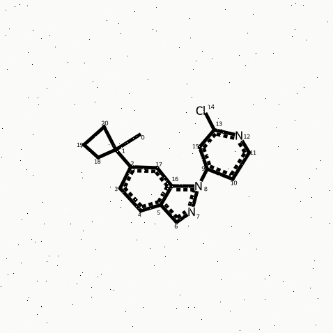 CC1(c2ccc3cnn(-c4ccnc(Cl)c4)c3c2)CCC1